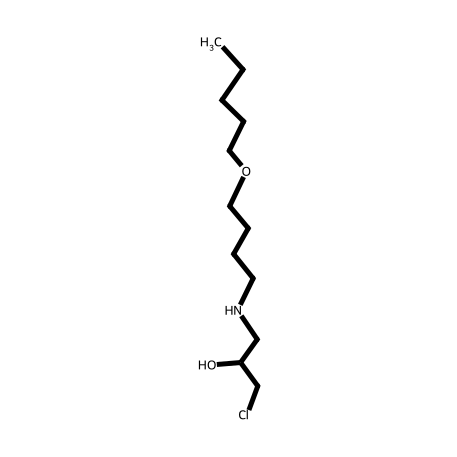 CCCCCOCCCCNCC(O)CCl